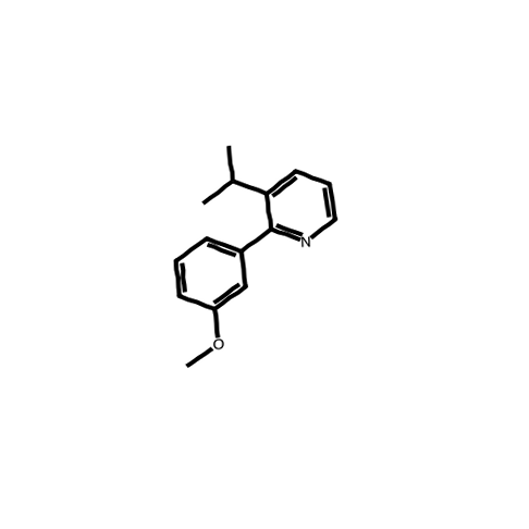 COc1cccc(-c2ncccc2C(C)C)c1